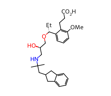 CC[C@@H](OC[C@H](O)CNC(C)(C)CC1Cc2ccccc2C1)c1cccc(OC)c1CCC(=O)O